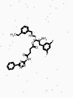 CCc1cccc(CNC[C@@H](OC(=O)CCC(=O)Nc2nnc(-c3ccccc3)s2)[C@@H](N)Cc2cc(F)cc(F)c2)c1